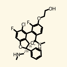 CNC[C@]1(c2ccccc2)Oc2cc(F)c(Cl)c(-c3c(C(=O)NC)ccc(OCCO)c3F)c2[C@@H]1C